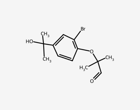 CC(C)(C=O)Oc1ccc(C(C)(C)O)cc1Br